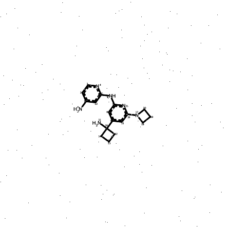 Nc1ccnc(Nc2cc(C3(N)CCC3)cc(N3CCC3)n2)c1